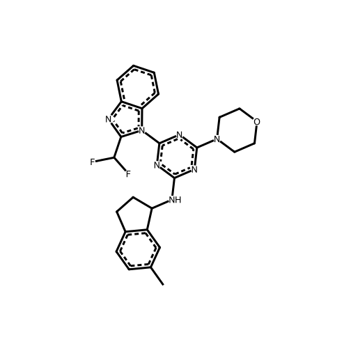 Cc1ccc2c(c1)C(Nc1nc(N3CCOCC3)nc(-n3c(C(F)F)nc4ccccc43)n1)CC2